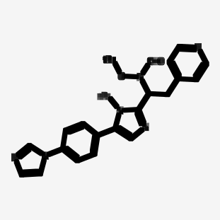 CCCn1c(-c2ccc(-n3ccnc3)cc2)cnc1C(Cc1ccncc1)N(C=O)OC(C)(C)C